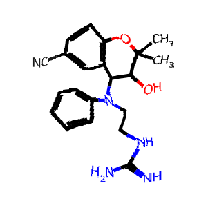 CC1(C)Oc2ccc(C#N)cc2C(N(CCNC(=N)N)c2ccccc2)C1O